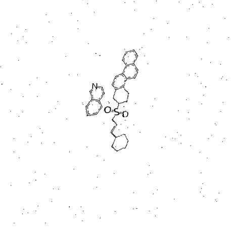 O=S(=O)(CC=CC1CCCCC1)C1CCc2c(ccc3c2ccc2ccccc23)C1.c1ccc2cnccc2c1